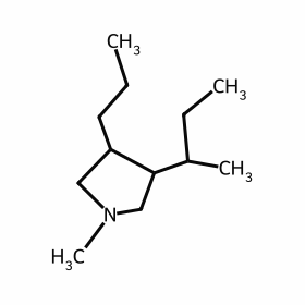 CCCC1CN(C)CC1C(C)CC